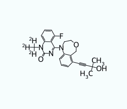 [2H]C([2H])([2H])n1c(=O)nc(N2CCOCc3c(C#CC(C)(C)O)cccc32)c2c(F)cccc21